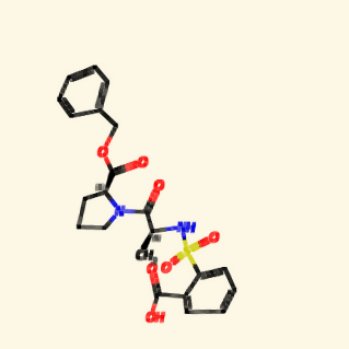 C[C@H](NS(=O)(=O)c1ccccc1C(=O)O)C(=O)N1CCC[C@H]1C(=O)OCc1ccccc1